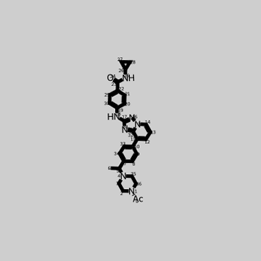 CC(=O)N1CCN(C(C)c2ccc(-c3cccn4nc(Nc5ccc(C(=O)NC6CC6)cc5)nc34)cc2)CC1